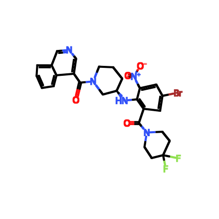 O=C(c1cc(Br)cc([N+](=O)[O-])c1N[C@@H]1CCCN(C(=O)c2cncc3ccccc23)C1)N1CCC(F)(F)CC1